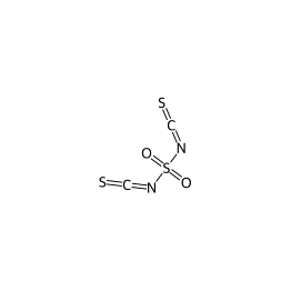 O=S(=O)(N=C=S)N=C=S